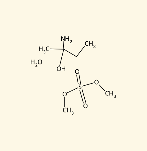 CCC(C)(N)O.COS(=O)(=O)OC.O